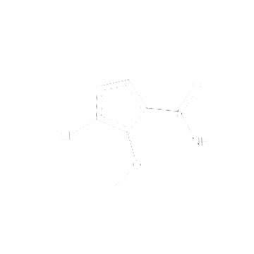 COc1c(C([NH])=O)csc1Cl